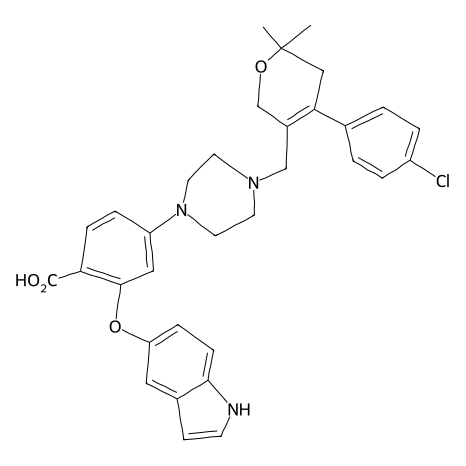 CC1(C)CC(c2ccc(Cl)cc2)=C(CN2CCN(c3ccc(C(=O)O)c(Oc4ccc5[nH]ccc5c4)c3)CC2)CO1